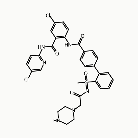 CS(=O)(=NC(=O)CN1CCNCC1)c1ccccc1-c1ccc(C(=O)Nc2ccc(Cl)cc2C(=O)Nc2ccc(Cl)cn2)cc1